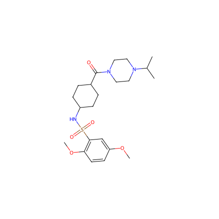 COc1ccc(OC)c(S(=O)(=O)NC2CCC(C(=O)N3CCN(C(C)C)CC3)CC2)c1